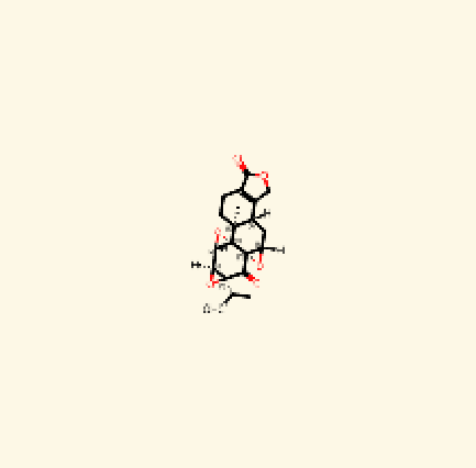 CC(C=O)[C@]12O[C@H]1[C@@H]1O[C@@]13[C@@]1(C)CCC4=C(COC4=O)[C@@H]1C[C@@H]1O[C@@]13C2=O